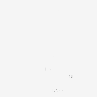 CNC(=N)NC(=O)C=Cc1ccccc1C